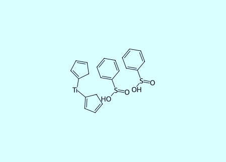 C1=CC[C]([Ti][C]2=CC=CC2)=C1.O=S(O)c1ccccc1.O=S(O)c1ccccc1